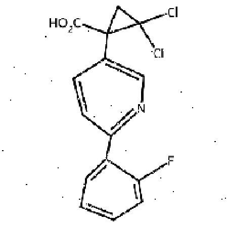 O=C(O)C1(c2ccc(-c3ccccc3F)nc2)CC1(Cl)Cl